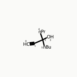 C#CC(O)(CCC)CCCC